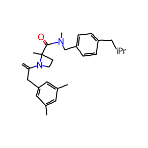 C=C(Cc1cc(C)cc(C)c1)N1CCC1(C)C(=O)N(C)Cc1ccc(CC(C)C)cc1